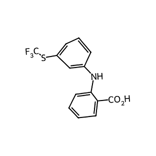 O=C(O)c1ccccc1Nc1cccc(SC(F)(F)F)c1